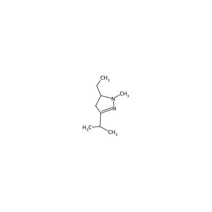 CCC1CC(C(C)C)=NN1C